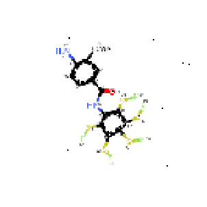 COc1cc(C(=O)Nc2c(SF)c(SF)c(SF)c(SF)c2SF)ccc1N